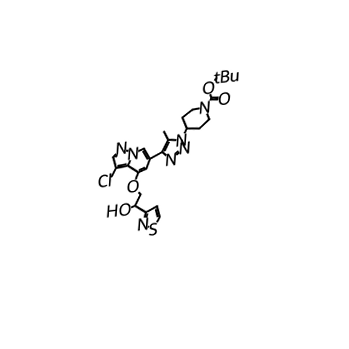 Cc1c(-c2cc(OCC(O)c3ccsn3)c3c(Cl)cnn3c2)nnn1C1CCN(C(=O)OC(C)(C)C)CC1